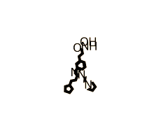 O=C(CCc1ccc2c(c1)nc(CCC1CCCC1)n2CCN1CCCC1)NO